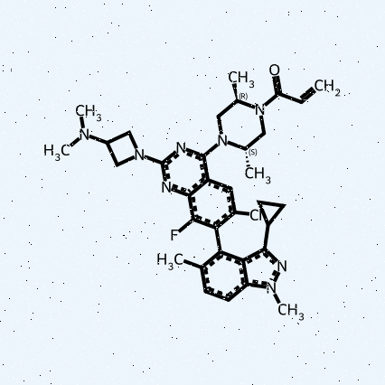 C=CC(=O)N1C[C@H](C)N(c2nc(N3CC(N(C)C)C3)nc3c(F)c(-c4c(C)ccc5c4c(C4CC4)nn5C)c(Cl)cc23)C[C@H]1C